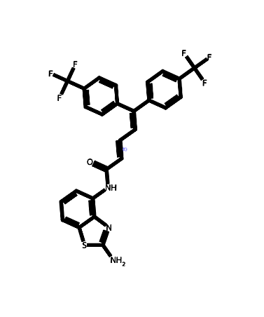 Nc1nc2c(NC(=O)/C=C/C=C(c3ccc(C(F)(F)F)cc3)c3ccc(C(F)(F)F)cc3)cccc2s1